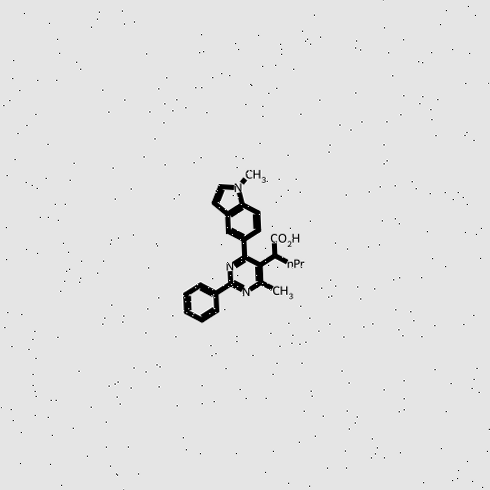 CCCC(C(=O)O)c1c(C)nc(-c2ccccc2)nc1-c1ccc2c(ccn2C)c1